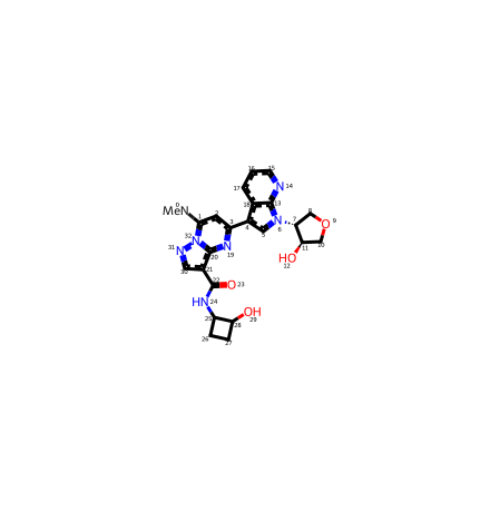 CNc1cc(-c2cn([C@@H]3COC[C@H]3O)c3ncccc23)nc2c(C(=O)NC3CCC3O)cnn12